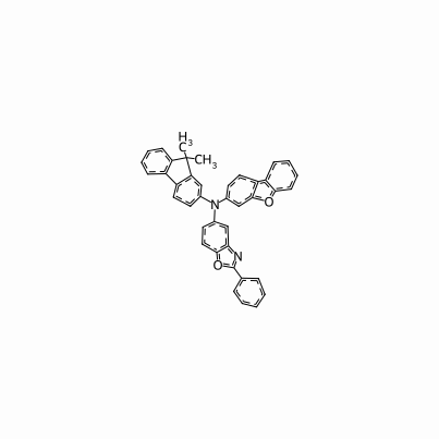 CC1(C)c2ccccc2-c2ccc(N(c3ccc4oc(-c5ccccc5)nc4c3)c3ccc4c(c3)oc3ccccc34)cc21